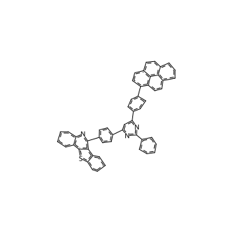 c1ccc(-c2nc(-c3ccc(-c4ccc5ccc6cccc7ccc4c5c67)cc3)cc(-c3ccc(-c4nc5ccccc5c5sc6ccccc6c45)cc3)n2)cc1